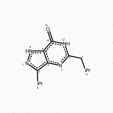 CC(C)Cc1nc2c(C(C)C)n[nH]c2c(=O)[nH]1